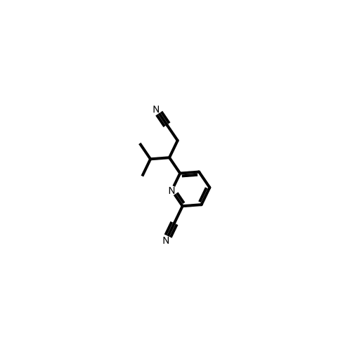 CC(C)C(CC#N)c1cccc(C#N)n1